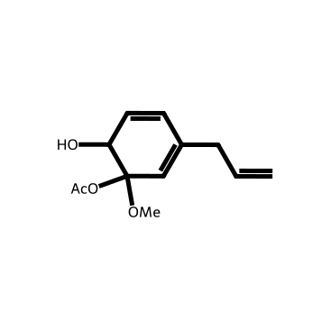 C=CCC1=CC(OC)(OC(C)=O)C(O)C=C1